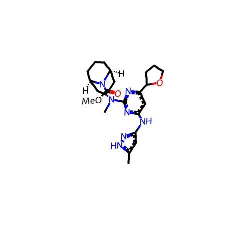 COC(=O)N1[C@@H]2CCC[C@H]1C[C@H](N(C)c1nc(Nc3cc(C)[nH]n3)cc(C3CCCO3)n1)C2